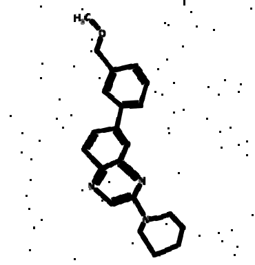 COCc1cccc(-c2ccc3ncc(N4CCCCC4)nc3c2)c1